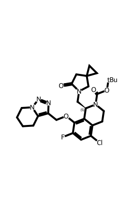 CC(C)(C)OC(=O)N1CCc2c(Cl)cc(F)c(OCc3nnn4c3CCCC4)c2[C@H]1CN1CC2(CC2)CC1=O